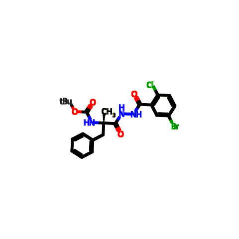 CC(C)(C)OC(=O)N[C@](C)(Cc1ccccc1)C(=O)NNC(=O)c1cc(Br)ccc1Cl